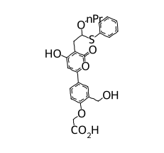 CCCOC(Cc1c(O)cc(-c2ccc(OCC(=O)O)c(CO)c2)oc1=O)Sc1ccccc1